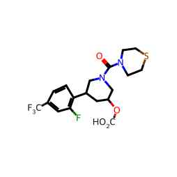 O=C(O)OC1CC(c2ccc(C(F)(F)F)cc2F)CN(C(=O)N2CCSCC2)C1